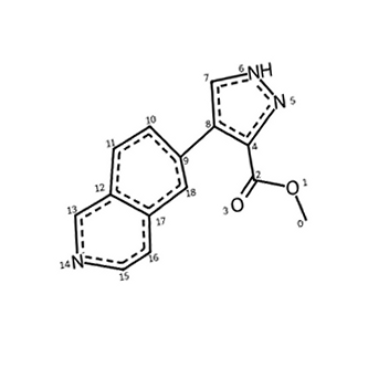 COC(=O)c1n[nH]cc1-c1ccc2cnccc2c1